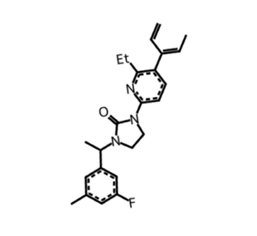 C=C/C(=C\C)c1ccc(N2CCN(C(C)c3cc(C)cc(F)c3)C2=O)nc1CC